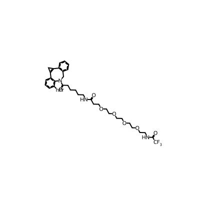 CCCc1cccc2c1N(C(=O)CCCCCNC(=O)CCOCCOCCOCCOCCNC(=O)C(F)(F)F)Cc1ccccc1C1=C2C1